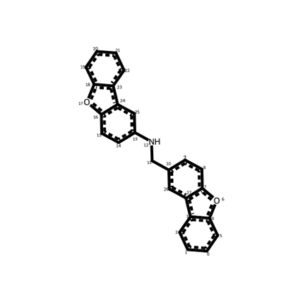 c1ccc2c(c1)oc1ccc(CNc3ccc4oc5ccccc5c4c3)cc12